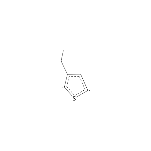 CCc1[c]s[c]c1